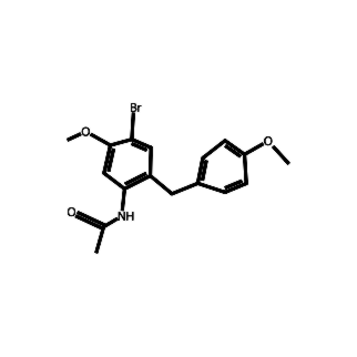 COc1ccc(Cc2cc(Br)c(OC)cc2NC(C)=O)cc1